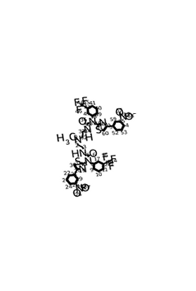 CN(CCNC(=O)N(c1cccc(C(F)(F)F)c1)c1nc(-c2cccc([N+](=O)[O-])c2)cs1)CCNC(=O)N(c1cccc(C(F)(F)F)c1)c1nc(-c2cccc([N+](=O)[O-])c2)cs1